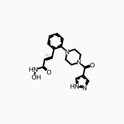 O=C(/C=C/c1ccccc1N1CCN(C(=O)c2cn[nH]c2)CC1)NO